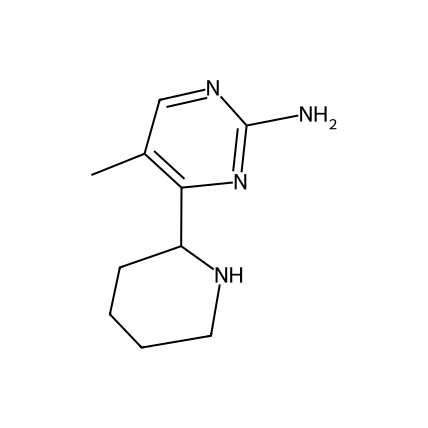 Cc1cnc(N)nc1C1CCCCN1